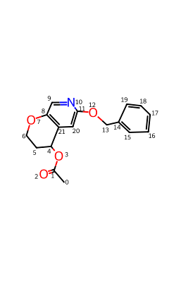 CC(=O)OC1CCOc2cnc(OCc3ccccc3)cc21